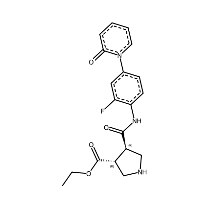 CCOC(=O)[C@H]1CNC[C@@H]1C(=O)Nc1ccc(-n2ccccc2=O)cc1F